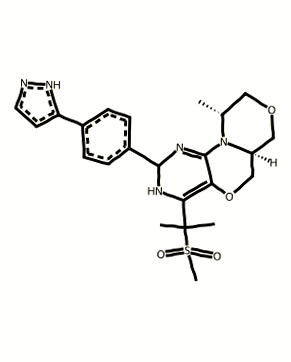 C[C@@H]1COC[C@H]2COC3=C(C(C)(C)S(C)(=O)=O)NC(c4ccc(-c5ccn[nH]5)cc4)N=C3N21